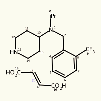 CC(C)N(Cc1ccccc1C(F)(F)F)C1CCNCC1.O=C(O)/C=C/C(=O)O